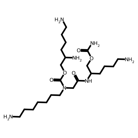 NCCCCCCCN(CC(=O)NC(CCCCN)COC(N)=O)C(=O)OCC(N)CCCCN